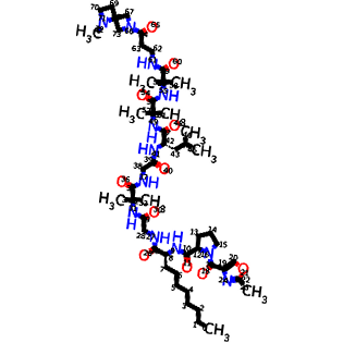 CCCCCCCC[C@H](NC(=O)C1CCCN1C(=O)c1coc(C)n1)C(=O)NCC(=O)NC(C)(C)C(=O)NCC(=O)N[C@@H](CC(C)C)C(=O)NC(C)(C)C(=O)NC(C)(C)C(=O)NCCC(=O)N1CC2(CCN2C)C1